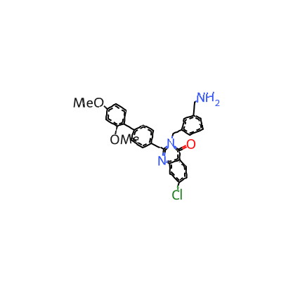 COc1ccc(-c2ccc(-c3nc4cc(Cl)ccc4c(=O)n3Cc3cccc(CN)c3)cc2)c(OC)c1